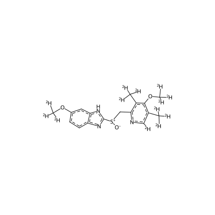 [2H]c1nc(C[S+]([O-])c2nc3ccc(OC([2H])([2H])[2H])cc3[nH]2)c(C([2H])([2H])[2H])c(OC([2H])([2H])[2H])c1C([2H])([2H])[2H]